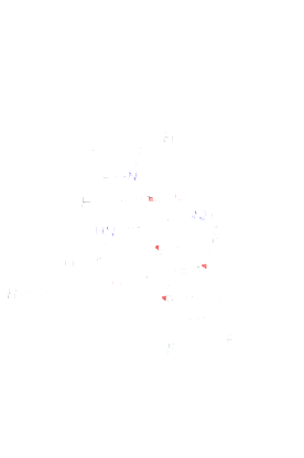 CCOC(=O)NC(C(=O)N1[C@@H]2CC[C@H]1C[C@H]([C@H](N)Cc1cc(F)c(F)cc1F)C2)c1ccccc1